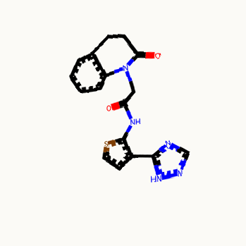 O=C(CN1C(=O)CCc2ccccc21)Nc1sccc1-c1ncn[nH]1